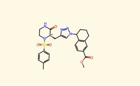 COC(=O)c1ccc2c(c1)CCCC2n1cc(C[C@@H]2C(=O)NCCN2S(=O)(=O)c2ccc(C)cc2)nn1